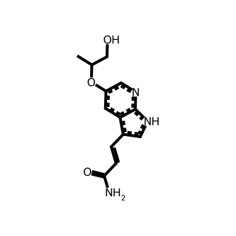 CC(CO)Oc1cnc2[nH]cc(/C=C/C(N)=O)c2c1